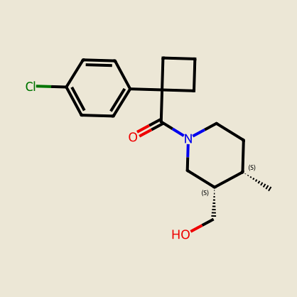 C[C@H]1CCN(C(=O)C2(c3ccc(Cl)cc3)CCC2)C[C@H]1CO